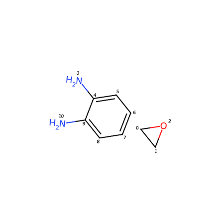 C1CO1.Nc1ccccc1N